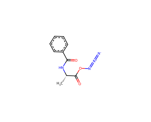 C[C@H](NC(=O)c1ccccc1)C(=O)ON=[N+]=[N-]